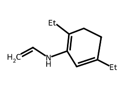 C=CNC1=C(CC)CCC(CC)=C1